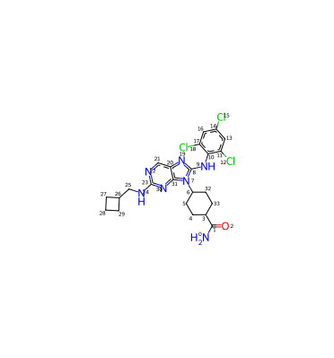 NC(=O)C1CCC(n2c(Nc3c(Cl)cc(Cl)cc3Cl)nc3cnc(NCC4CCC4)nc32)CC1